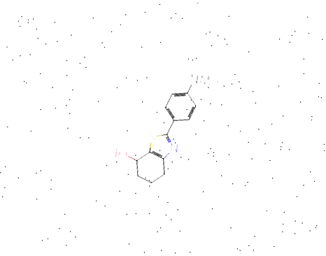 CNc1ccc(-c2nc3c(s2)C(O)CCC3)cc1